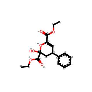 CCOC(=O)C1=CC(c2ccccc2)CC(O)(C(=O)OCC)O1